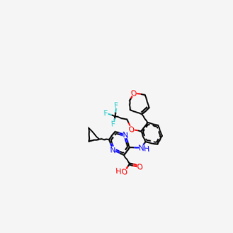 O=C(O)c1nc(C2CC2)cnc1Nc1cccc(C2=CCOCC2)c1OCC(F)(F)F